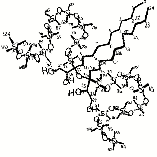 CCCCCCCCCCCC(OC(CCCCCCCCCCC)(C(O)CO)[Si](C)(C)O[Si](C)(C)O[Si](C)(C)O[Si](C)(C)O[Si](C)(C)O[Si](C)(C)O[Si](C)(C)O[Si](C)(C)O[Si](C)(C)C)(C(O)CO)[Si](C)(C)O[Si](C)(C)O[Si](C)(C)O[Si](C)(C)O[Si](C)(C)O[Si](C)(C)O[Si](C)(C)O[Si](C)(C)O[Si](C)(C)C